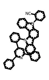 N#Cc1ccccc1-n1c2ccccc2c2c1ccc1c3ccccc3n(-c3ccccc3-c3cc(-c4ccccc4)nc(-c4ccccc4)c3)c12